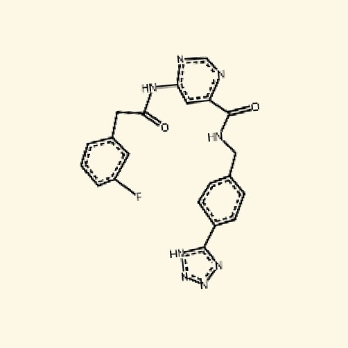 O=C(Cc1cccc(F)c1)Nc1cc(C(=O)NCc2ccc(-c3nnn[nH]3)cc2)ncn1